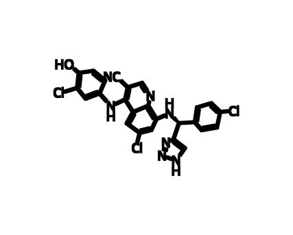 N#Cc1cnc2c(N[C@@H](c3ccc(Cl)cc3)c3c[nH]nn3)cc(Cl)cc2c1Nc1ccc(O)c(Cl)c1